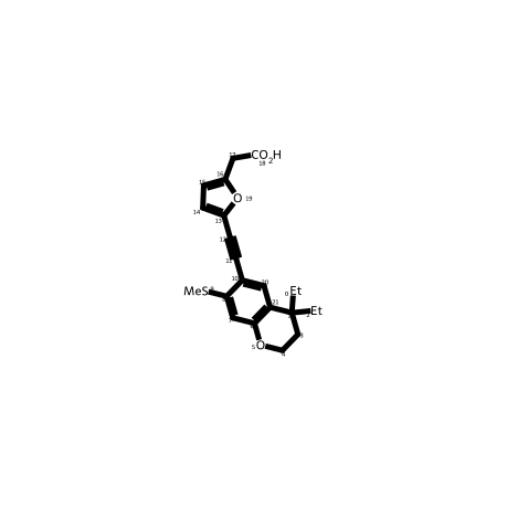 CCC1(CC)CCOc2cc(SC)c(C#Cc3ccc(CC(=O)O)o3)cc21